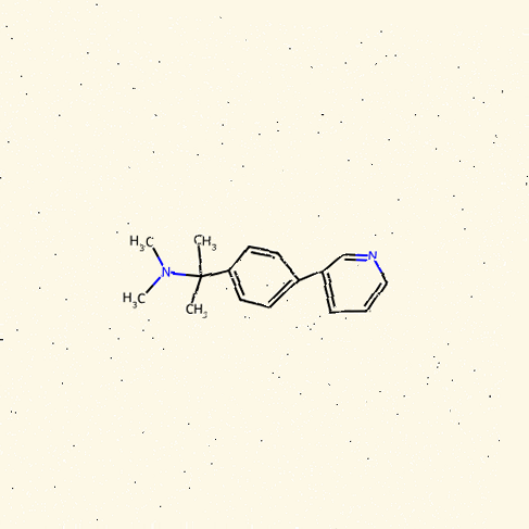 CN(C)C(C)(C)c1ccc(-c2c[c]cnc2)cc1